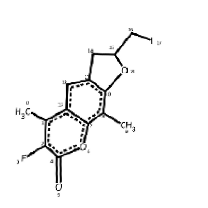 Cc1c(F)c(=O)oc2c(C)c3c(cc12)CC(CI)O3